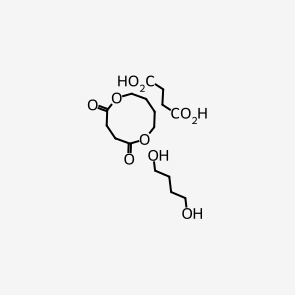 O=C(O)CCC(=O)O.O=C1CCC(=O)OCCCCO1.OCCCCO